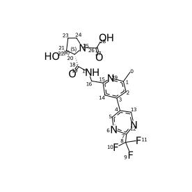 Cc1cc(-c2cnc(C(F)(F)F)nc2)cc(CNC(=O)[C@@H]2[C@H](O)CCN2C(=O)O)n1